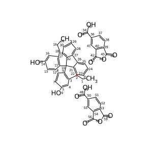 CCCc1cc(O)ccc1C1(c2ccc(O)cc2CCC)c2ccccc2-c2ccccc21.O=C(O)c1ccc2c(c1)C(=O)OC2=O.O=C(O)c1ccc2c(c1)C(=O)OC2=O